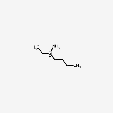 CCCC[SiH](N)CC